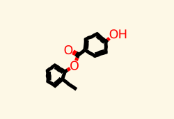 Cc1ccccc1OC(=O)c1ccc(O)cc1